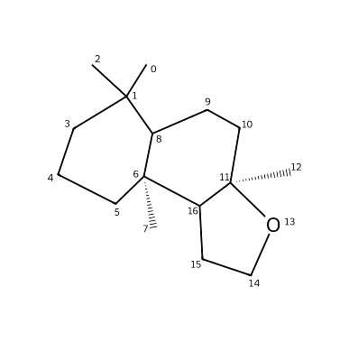 CC1(C)CCC[C@@]2(C)C1CC[C@@]1(C)OCCC21